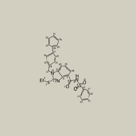 CCSc1nc2c(C(=O)NS(=O)(=O)c3ccccc3)cccc2n1Cc1ccc(-c2ccccc2)cc1